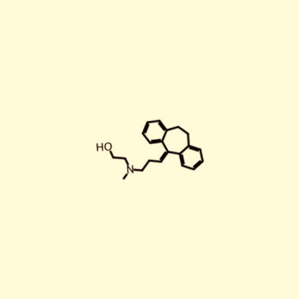 CN(CCO)CCC=C1c2ccccc2CCc2ccccc21